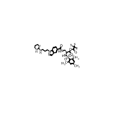 Cc1cc(C)c(S(=O)(=O)N[C@@H](CNC(=O)c2ccc3c(cnn3CCCNC3=NCCCN3)c2)C(=O)OC(=O)C(F)(F)F)c(C)c1